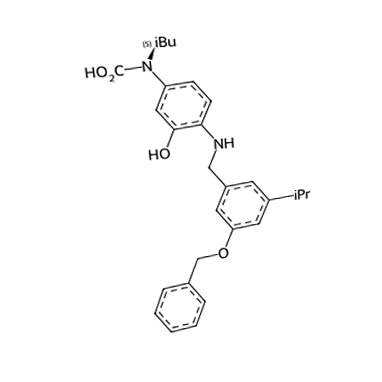 CC[C@H](C)N(C(=O)O)c1ccc(NCc2cc(OCc3ccccc3)cc(C(C)C)c2)c(O)c1